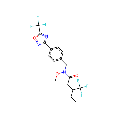 CCC(CC(=O)N(Cc1ccc(-c2noc(C(F)(F)F)n2)cc1)OC)C(F)(F)F